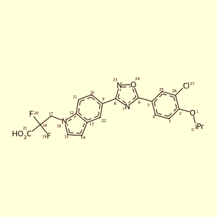 CC(C)Oc1ccc(-c2nc(-c3ccc4c(ccn4CC(F)(F)C(=O)O)c3)no2)cc1Cl